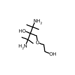 CC(C)(N)C(O)(COCCO)C(C)(C)N